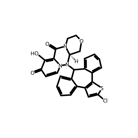 O=C1c2c(O)c(=O)ccn2N(C2c3ccccc3-c3cc(Cl)sc3-c3ccccc32)[C@@H]2COCCN12